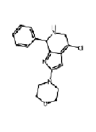 ClC1=C2C=C(N3CCOCC3)N=C2C(c2ccccc2)NC1